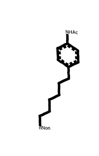 CCCCCCCCCCCCCCCc1c[c]c(NC(C)=O)cc1